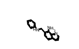 Nc1c(CNc2ccccc2)ccc2cccnc12